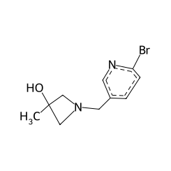 CC1(O)CN(Cc2ccc(Br)nc2)C1